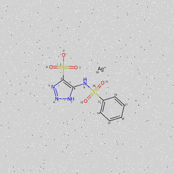 O=S(=O)([O-])c1nn[nH]c1NS(=O)(=O)c1ccccc1.[Ag+]